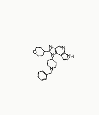 c1ccc(CN2CCC(n3c(C4CCOCC4)nc4cnc5[nH]ccc5c43)CC2)cc1